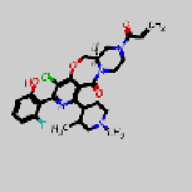 C=CC(=O)N1CCN2C(=O)c3c(C4CCN(C)CC4C)nc(-c4c(O)cccc4F)c(Cl)c3OC[C@H]2C1